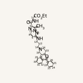 CCOC(=O)CNC(=O)c1nc2ccc(NCCCN3CCC(OC(c4ccccc4)c4ccccc4)CC3)nn2c1C